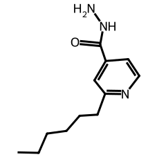 CCCCCCc1cc(C(=O)NN)ccn1